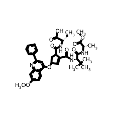 CC[C@H](NC(=O)C1CC(Oc2cc(-c3ccccc3)nc3cc(OC)ccc23)C=C1C(=O)N[C@H](C(=O)N[C@@H](C)C(=O)OC)C(C)(C)C)C(=O)O